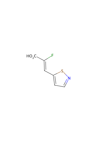 O=C(O)C(F)=Cc1ccns1